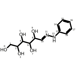 OCC(O)C(O)C(O)C(O)C=NNc1ccccc1